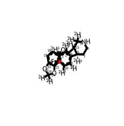 [2H]c1c([2H])c([C@]2([2H])CCNC([2H])([2H])C2([2H])COc2ccc3c(c2)OC([2H])([2H])O3)c([2H])c([2H])c1F